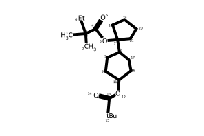 CCC(C)(C)C(=O)OC1(C2CCC(OC(=O)C(C)(C)C)CC2)CCCC1